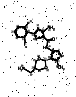 Cn1ncc(NC(=O)c2nc(-c3c(F)cccc3F)sc2N)c1[C@H]1OC[C@H](CN)CO1